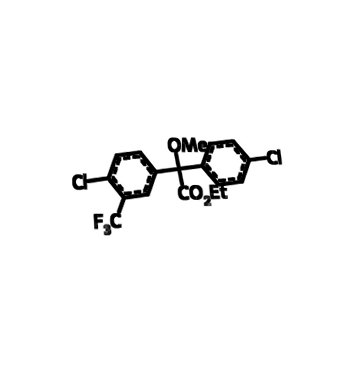 CCOC(=O)C(OC)(c1ccc(Cl)cc1)c1ccc(Cl)c(C(F)(F)F)c1